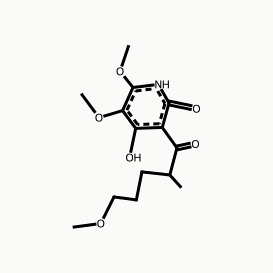 COCCCC(C)C(=O)c1c(O)c(OC)c(OC)[nH]c1=O